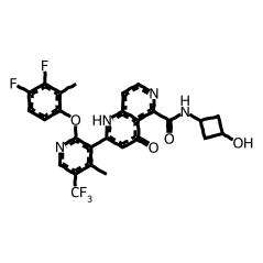 Cc1c(Oc2ncc(C(F)(F)F)c(C)c2-c2cc(=O)c3c(C(=O)NC4CC(O)C4)nccc3[nH]2)ccc(F)c1F